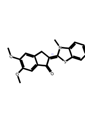 COc1cc2c(cc1OC)C(=O)/C(=C1\Sc3ccccc3N1C)C2